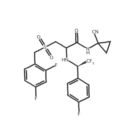 N#CC1(NC(=O)C(CS(=O)(=O)Cc2ccc(F)cc2F)N[C@H](c2ccc(F)cc2)C(F)(F)F)CC1